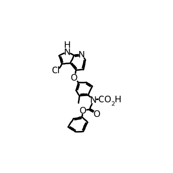 Cc1cc(Oc2ccnc3[nH]cc(Cl)c23)ccc1N(C(=O)O)C(=O)Oc1ccccc1